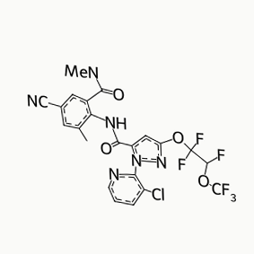 CNC(=O)c1cc(C#N)cc(C)c1NC(=O)c1cc(OC(F)(F)C(F)OC(F)(F)F)nn1-c1ncccc1Cl